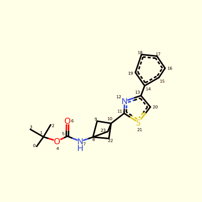 CC(C)(C)OC(=O)NC12CC(c3nc(-c4ccccc4)cs3)(C1)C2